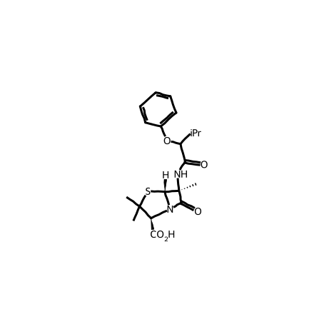 CC(C)C(Oc1ccccc1)C(=O)N[C@@]1(C)C(=O)N2[C@@H](C(=O)O)C(C)(C)S[C@@H]21